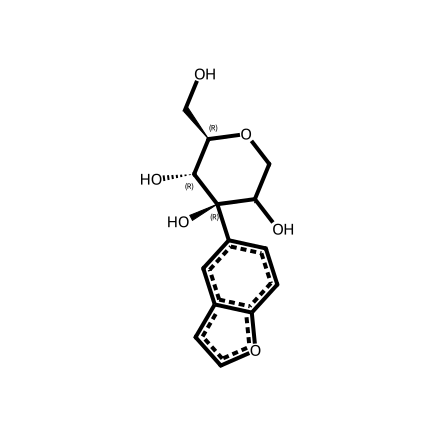 OC[C@H]1OC[C](O)[C@](O)(c2ccc3occc3c2)[C@@H]1O